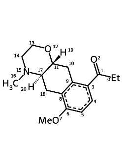 CCC(=O)c1ccc(OC)c2c1C[C@H]1OCCN(C)[C@@H]1C2